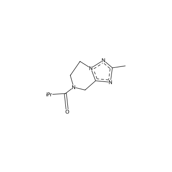 Cc1nc2n(n1)CCN(C(=O)C(C)C)C2